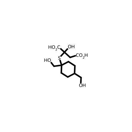 O=C(O)CC(O)(SC1(CO)CCC(CO)CC1)C(=O)O